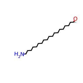 NCCCCCCCCCCCCCCCCCC[C]=O